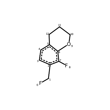 FCc1ccc2c(c1F)OCCC2